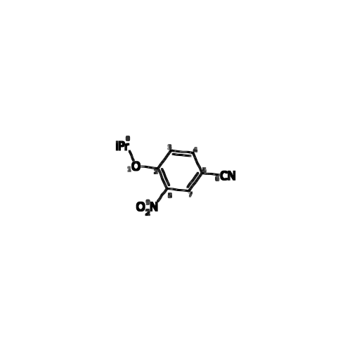 CC(C)Oc1ccc(C#N)cc1[N+](=O)[O-]